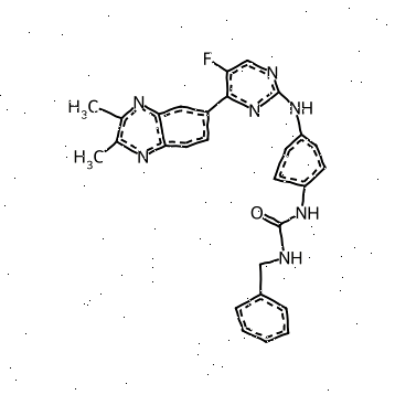 Cc1nc2ccc(-c3nc(Nc4ccc(NC(=O)NCc5ccccc5)cc4)ncc3F)cc2nc1C